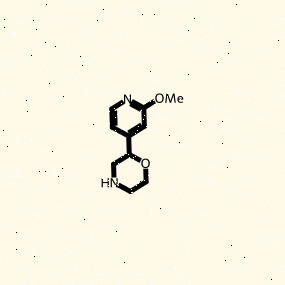 COc1cc(C2CNCCO2)ccn1